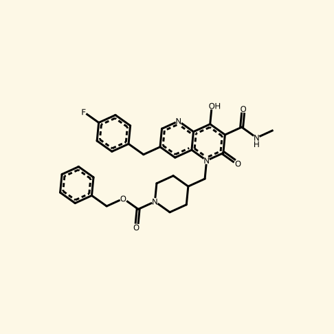 CNC(=O)c1c(O)c2ncc(Cc3ccc(F)cc3)cc2n(CC2CCN(C(=O)OCc3ccccc3)CC2)c1=O